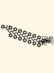 CCOC(=O)C(C)(CC(C)(C)C(=O)O)CC(C)(CC(CC(CC(CC(CC(CC(CC(CC(CC(CC(CC(CC(CC(CC(CC(CC)c1ccccc1)c1ccccc1)c1ccccc1)c1ccccc1)c1ccccc1)c1ccccc1)c1ccccc1)c1ccccc1)c1ccccc1)c1ccccc1)c1ccccc1)c1ccccc1)c1ccccc1)c1ccccc1)c1ccccc1)C(=O)OC